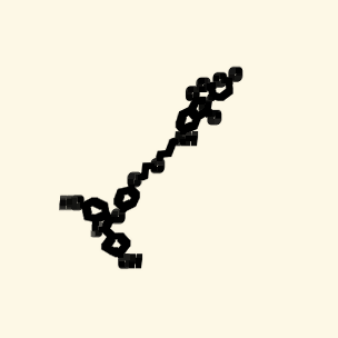 O=C1CCC(N2C(=O)c3ccc(NCCCOCCOc4ccc(Oc5c(-c6ccc(O)cc6)sc6cc(O)ccc56)cc4)cc3C2=O)C(=O)O1